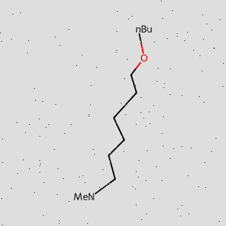 CCCCOCCCCCCNC